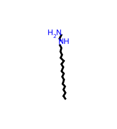 CCCCCCCCCCCCCCCCCCNCCN